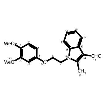 COc1ccc(OCCn2c(C)c(C=O)c3ccccc32)cc1OC